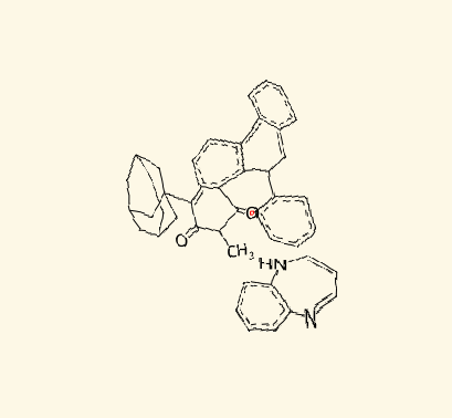 C1=CNc2ccccc2N=C1.CC1C(=O)C(C23CC4CC(CC(C4)C2)C3)=c2ccc3c(c2C1=O)C(c1ccccc1)C=c1ccccc1=3